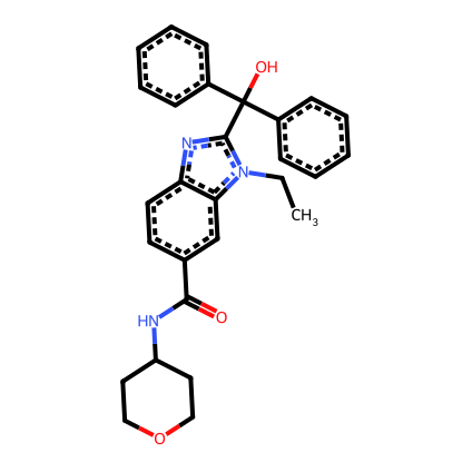 CCn1c(C(O)(c2ccccc2)c2ccccc2)nc2ccc(C(=O)NC3CCOCC3)cc21